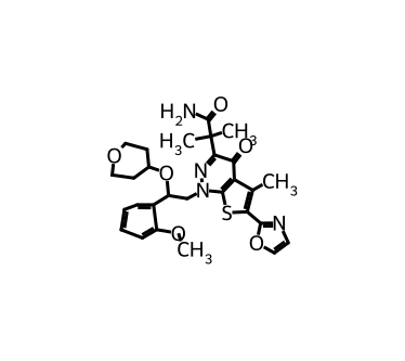 COc1ccccc1C(Cn1nc(C(C)(C)C(N)=O)c(=O)c2c(C)c(-c3ncco3)sc21)OC1CCOCC1